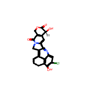 CC[C@@]1(O)C(=O)OCc2c1cc1n(c2=O)Cc2c-1nc1cc(Cl)c(O)c3c1c2CCC3